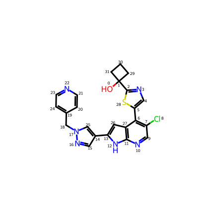 OC1(c2ncc(-c3c(Cl)cnc4[nH]c(-c5cnn(Cc6ccncc6)c5)cc34)s2)CCC1